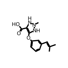 CC(C)=Cc1cccc(OC2=C(C(=O)O)NN(C)N2)c1